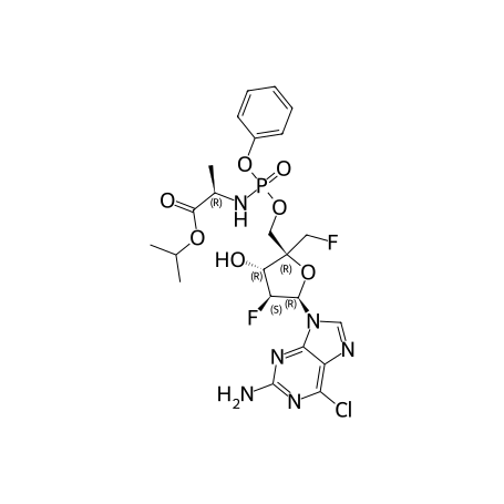 CC(C)OC(=O)[C@@H](C)NP(=O)(OC[C@@]1(CF)O[C@@H](n2cnc3c(Cl)nc(N)nc32)[C@@H](F)[C@@H]1O)Oc1ccccc1